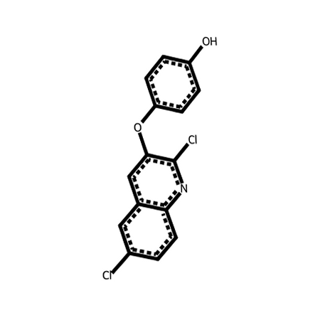 Oc1ccc(Oc2cc3cc(Cl)ccc3nc2Cl)cc1